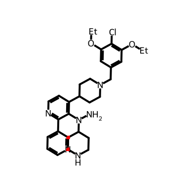 CCOc1cc(CN2CCC(c3ccnc(-c4cccnc4)c3N(N)C3CCNCC3)CC2)cc(OCC)c1Cl